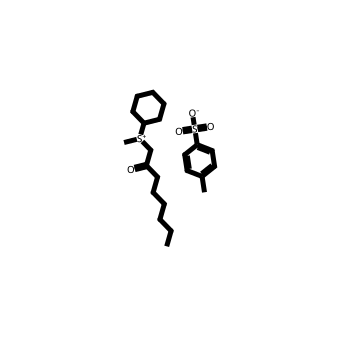 CCCCCCC(=O)C[S+](C)C1CCCCC1.Cc1ccc(S(=O)(=O)[O-])cc1